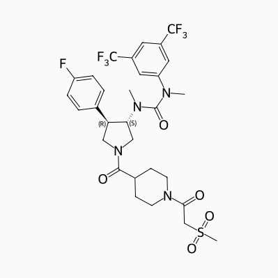 CN(C(=O)N(C)[C@@H]1CN(C(=O)C2CCN(C(=O)CS(C)(=O)=O)CC2)C[C@H]1c1ccc(F)cc1)c1cc(C(F)(F)F)cc(C(F)(F)F)c1